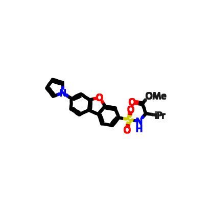 COC(=O)C(NS(=O)(=O)c1ccc2c(c1)oc1cc(-n3cccc3)ccc12)C(C)C